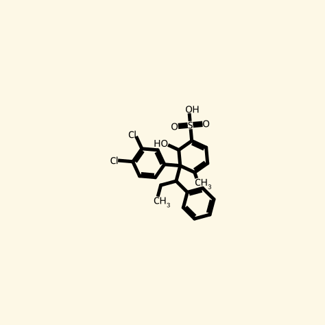 CCC(c1ccccc1)C1(c2ccc(Cl)c(Cl)c2)C(C)=CC=C(S(=O)(=O)O)C1O